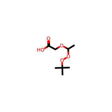 CC(OCC(=O)O)OOC(C)(C)C